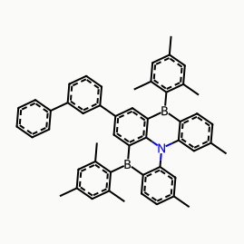 Cc1cc(C)c(B2c3ccc(C)cc3N3c4cc(C)ccc4B(c4c(C)cc(C)cc4C)c4cc(-c5cccc(-c6ccccc6)c5)cc2c43)c(C)c1